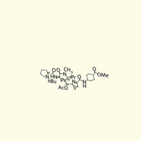 CCCCN1CCCC[C@@H]1C(=O)N[C@H](C(=O)N(C)[C@H](C[C@@H](OC(C)=O)c1nc(C(=O)NC2CCC(C(=O)OC)CC2)cs1)C(C)C)C(C)C